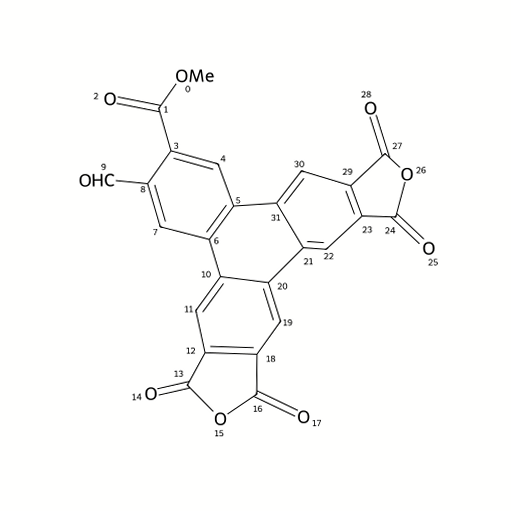 COC(=O)c1cc2c(cc1C=O)c1cc3c(=O)oc(=O)c3cc1c1cc3c(=O)oc(=O)c3cc21